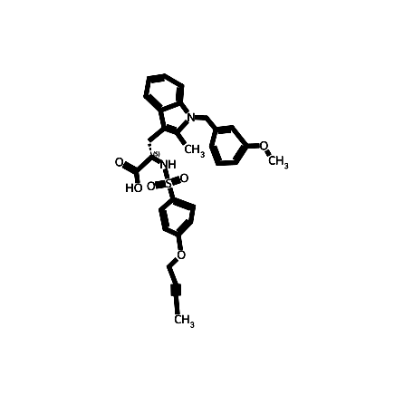 CC#CCOc1ccc(S(=O)(=O)N[C@@H](Cc2c(C)n(Cc3cccc(OC)c3)c3ccccc23)C(=O)O)cc1